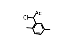 CC(=O)C(Cl)c1cc(C)ccc1C